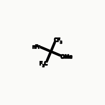 CCCC(OC)(C(F)(F)F)C(F)(F)F